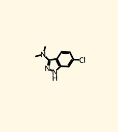 CN(C)c1n[nH]c2cc(Cl)ccc12